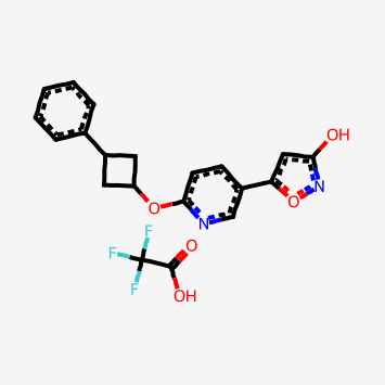 O=C(O)C(F)(F)F.Oc1cc(-c2ccc(OC3CC(c4ccccc4)C3)nc2)on1